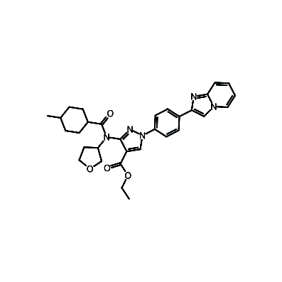 CCOC(=O)c1cn(-c2ccc(-c3cn4ccccc4n3)cc2)nc1N(C(=O)C1CCC(C)CC1)C1CCOC1